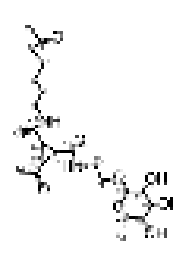 CC(=O)CCCCCNC(=O)C1C(C(C)=O)C1C(=O)NCCO[C@@H]1O[C@@H](C)[C@@H](O)[C@@H](O)[C@@H]1O